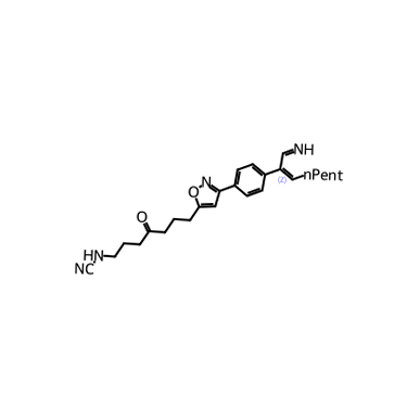 CCCCC/C=C(\C=N)c1ccc(-c2cc(CCCC(=O)CCCNC#N)on2)cc1